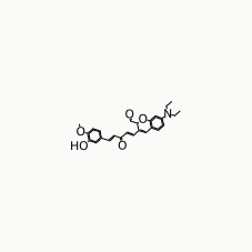 CCN(CC)c1ccc2c(c1)OC(C=O)C(/C=C/C(=O)/C=C/c1ccc(OC)c(O)c1)=C2